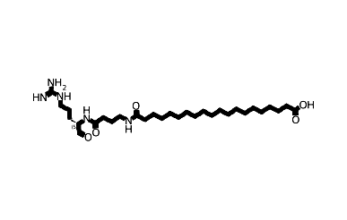 N=C(N)NCCC[C@@H](C=O)NC(=O)CCCNC(=O)CCCCCCCCCCCCCCCCCCC(=O)O